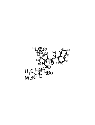 CN[C@@H](C)C(=O)N[C@H](C(=O)N1CCC2[C@H]1[C@@H](C(=O)Nc1cccc3cccnc13)CN2S(C)(=O)=O)C(C)(C)C